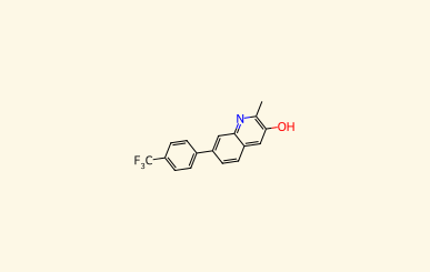 Cc1nc2cc(-c3ccc(C(F)(F)F)cc3)ccc2cc1O